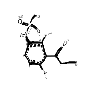 CCC(=O)c1c(F)ccc(NS(C)(=O)=O)c1F